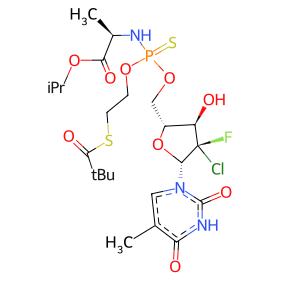 Cc1cn([C@@H]2O[C@H](COP(=S)(N[C@H](C)C(=O)OC(C)C)OCCSC(=O)C(C)(C)C)[C@@H](O)[C@]2(F)Cl)c(=O)[nH]c1=O